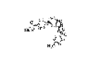 Cc1ccc(S(=O)(=O)Oc2noc3ccc(C4CCN(C(=O)OC(C)(C)C)CC4)cc23)cc1